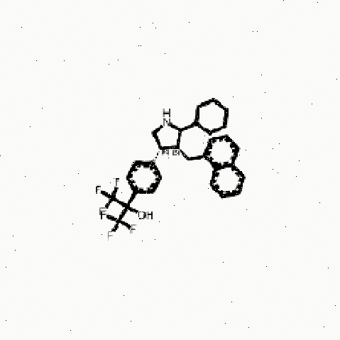 OC(c1ccc([C@@H]2CNC(C3CCCCC3)[C@H]2Cc2cccc3ccccc23)cc1)(C(F)(F)F)C(F)(F)F